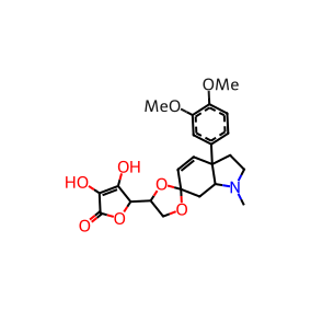 COc1ccc(C23C=CC4(CC2N(C)CC3)OCC(C2OC(=O)C(O)=C2O)O4)cc1OC